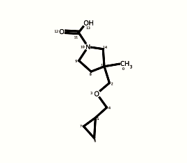 CC1(COCC2CC2)CCN(C(=O)O)C1